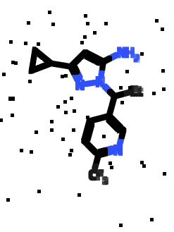 CCC(c1ccc(C(F)(F)F)nc1)n1nc(C2CC2)cc1N